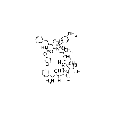 CC(C)CN(C[C@@H](O)[C@H](Cc1ccccc1)NC(=O)O[C@H]1CCOC1)S(=O)(=O)c1ccc(N)cc1.CC1(C)S[C@@H]2[C@H](NC(=O)[C@H](N)c3ccccc3)C(=O)N2[C@H]1C(=O)O